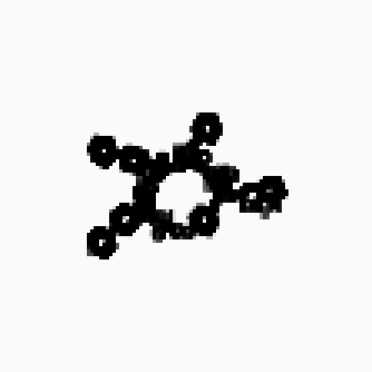 O=C1COc2ccc(cc2)C[C@@H](C(=O)N[C@@H](Cc2ccccc2)C(=O)O)NC(=O)[C@H](CCc2ccccc2)NC(=O)[C@@H](Cc2ccc(-c3ccccc3)cc2)NC(=O)[C@H](Cc2ccc(-c3ccncc3)cc2)N1